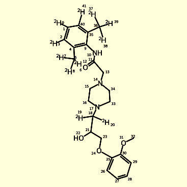 [2H]c1c([2H])c(C([2H])([2H])[2H])c(NC(=O)CN2CCN(C([2H])([2H])C(O)COc3ccccc3OC)CC2)c(C([2H])([2H])[2H])c1[2H]